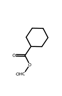 O=[C]OC(=O)C1CCCCC1